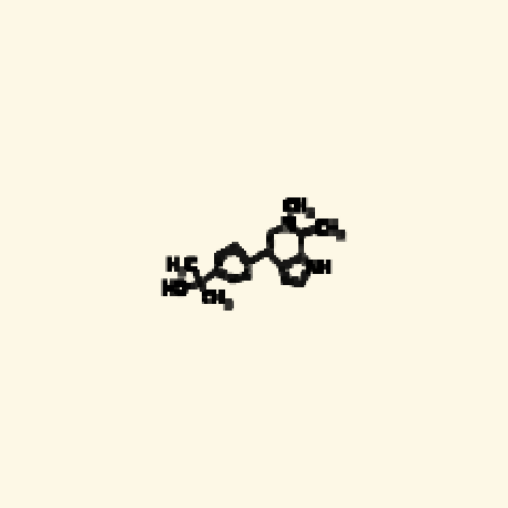 C=C1c2[nH]ccc2C(c2ccc(C(C)(C)O)cc2)=CN1C